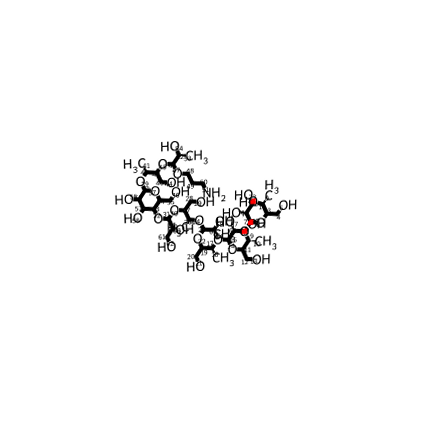 C[C@H](O)C(CO)OC(O[C@H](C)C(CO)OC(O[C@@H](C)C(CO)OC(O[C@@H](C)C(CO)OC(OC1C(CO)OC(O[C@@H](C)C(CO)OC(OCCCN)[C@H](C)O)C(O)C1O)[C@@H](O)CO)[C@H](C)O)[C@@H](O)CO)[C@@H](O)CO